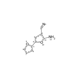 N#Cc1cc(-c2ccco2)oc1N